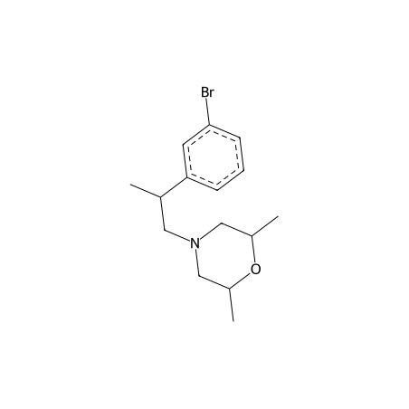 CC1CN(CC(C)c2cccc(Br)c2)CC(C)O1